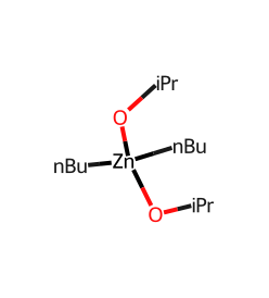 CCC[CH2][Zn]([CH2]CCC)([O]C(C)C)[O]C(C)C